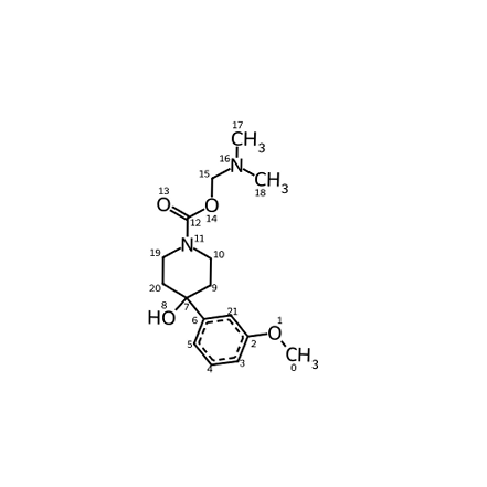 COc1cccc(C2(O)CCN(C(=O)OCN(C)C)CC2)c1